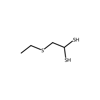 CCSCC(S)S